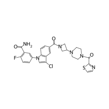 NC(=O)c1cc(-n2cc(Cl)c3cc(C(=O)N4CC(N5CCN(C(=O)c6nccs6)CC5)C4)ccc32)ccc1F